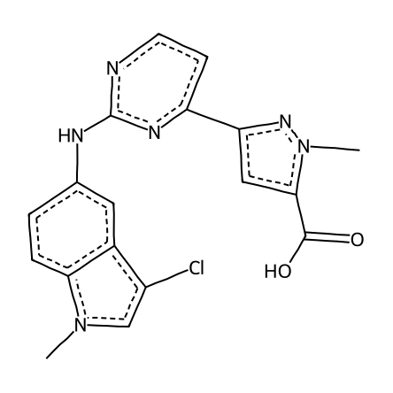 Cn1nc(-c2ccnc(Nc3ccc4c(c3)c(Cl)cn4C)n2)cc1C(=O)O